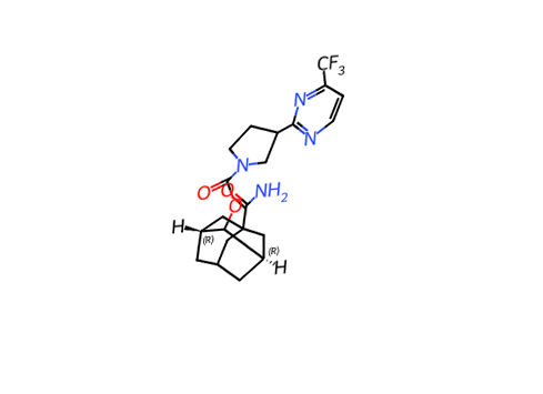 NC(=O)C12CC3C[C@H](C1)C(OC(=O)N1CCC(c4nccc(C(F)(F)F)n4)C1)[C@H](C3)C2